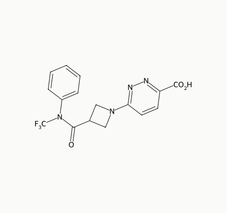 O=C(O)c1ccc(N2CC(C(=O)N(c3ccccc3)C(F)(F)F)C2)nn1